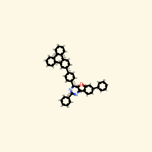 c1ccc(-c2ccc3c(c2)oc2c(-c4ccc(-c5ccc6c7ccccc7c7ccccc7c6c5)cc4)nc(-c4ccccc4)nc23)cc1